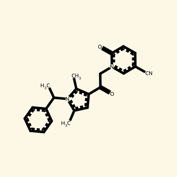 Cc1cc(C(=O)Cn2cc(C#N)ccc2=O)c(C)n1C(C)c1ccccc1